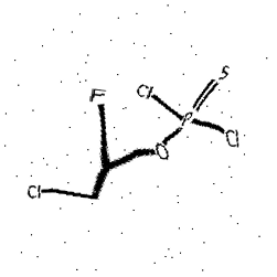 FC(CCl)OP(=S)(Cl)Cl